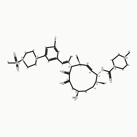 C/C(=C\c1cc(F)cc(N2CCN(S(C)(=O)=O)CC2)c1)[C@H]1C(=O)C(=O)C[C@H](O)CC[C@H](C)[C@@H](OC(=O)N2CCN(C)CC2)/C=C/[C@@H]1C